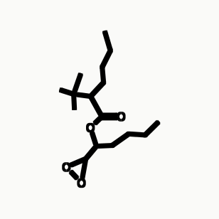 CCCCC(OC(=O)C(CCCC)C(C)(C)C)C1OO1